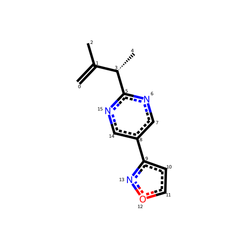 C=C(C)[C@H](C)c1ncc(-c2ccon2)cn1